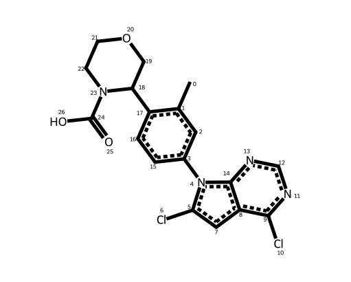 Cc1cc(-n2c(Cl)cc3c(Cl)ncnc32)ccc1C1COCCN1C(=O)O